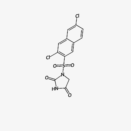 O=C1CN(S(=O)(=O)c2cc3ccc(Cl)cc3cc2Cl)C(=O)N1